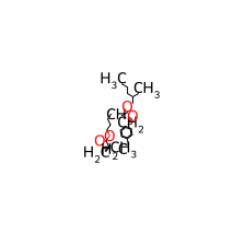 C=C(C)C(=O)OCCCC.C=CC(=O)OCC(CC)CCCC.C=Cc1ccccc1